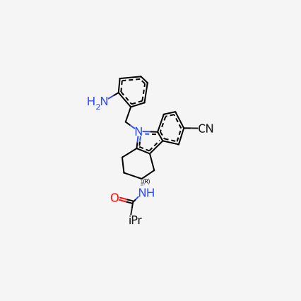 CC(C)C(=O)N[C@@H]1CCc2c(c3cc(C#N)ccc3n2Cc2ccccc2N)C1